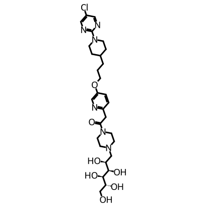 O=C(Cc1ccc(OCCCC2CCN(c3ncc(Cl)cn3)CC2)cn1)N1CCN(C[C@H](O)[C@@H](O)[C@H](O)[C@H](O)CO)CC1